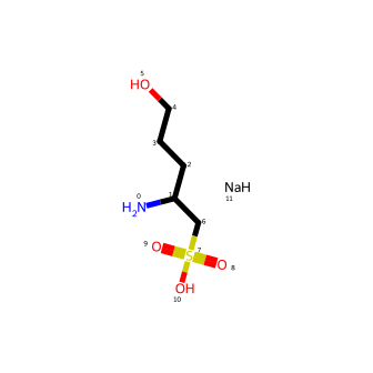 NC(CCCO)CS(=O)(=O)O.[NaH]